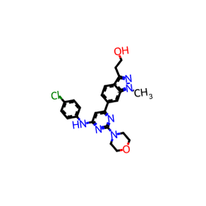 Cn1nc(CCO)c2ccc(-c3cc(Nc4ccc(Cl)cc4)nc(N4CCOCC4)n3)cc21